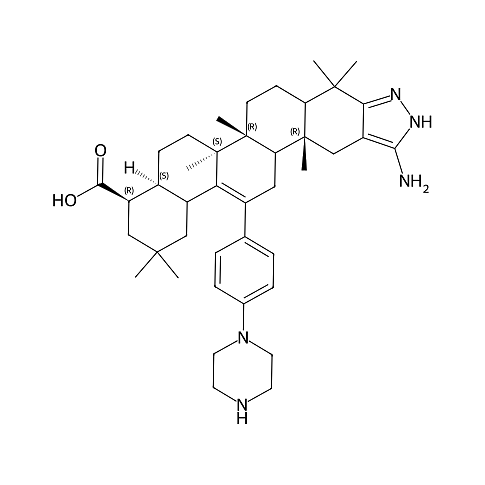 CC1(C)CC2C3=C(c4ccc(N5CCNCC5)cc4)CC4[C@@]5(C)Cc6c(n[nH]c6N)C(C)(C)C5CC[C@@]4(C)[C@]3(C)CC[C@@H]2[C@H](C(=O)O)C1